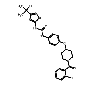 CC(C)(C)c1cc(NC(=O)Nc2ccc(OC3CCN(C(=O)c4ccccc4Cl)CC3)cc2)[nH]n1